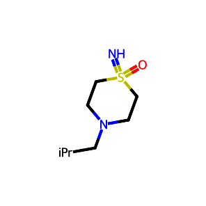 CC(C)CN1CCS(=N)(=O)CC1